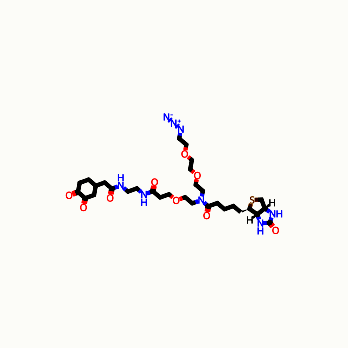 [N-]=[N+]=NCCOCCOCCN(CCOCCC(=O)NCCNC(=O)CC1CCC(=O)C(=O)C1)C(=O)CCCC[C@@H]1SC[C@@H]2NC(=O)N[C@@H]21